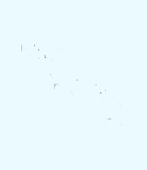 CCCCC(CC(=O)ON)Oc1ccc(Oc2ccccc2)cc1